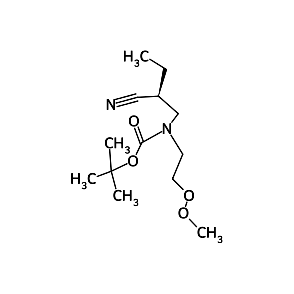 CC[C@H](C#N)CN(CCOOC)C(=O)OC(C)(C)C